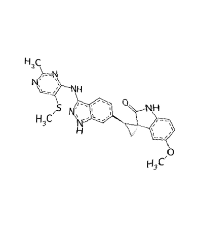 COc1ccc2c(c1)[C@]1(C[C@H]1c1ccc3c(Nc4nc(C)ncc4SC)n[nH]c3c1)C(=O)N2